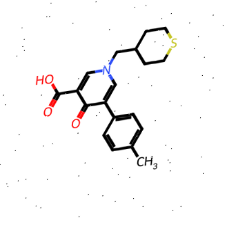 Cc1ccc(-c2cn(CC3CCSCC3)cc(C(=O)O)c2=O)cc1